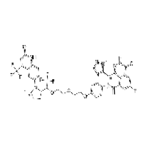 C[C@H]1CCC(C(OCCOCCOc2ccc([C@H]3Nc4cc(F)cc5c(=O)[nH]nc(c45)[C@@H]3c3ncnn3C)cc2)C(F)(F)F)N1c1ccc2[nH]c(=O)cc(C(F)(F)F)c2c1